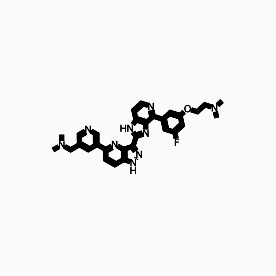 CN(C)CCOc1cc(F)cc(-c2nccc3[nH]c(-c4n[nH]c5ccc(-c6cncc(CN(C)C)c6)nc45)nc23)c1